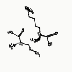 CCC[C@H](N)C(=O)O.NCCCC[C@H](N)C(=O)O